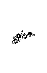 O=C(c1cc(Nc2nccc(-c3ccc(Br)s3)n2)ccc1O)N1CCOCC1